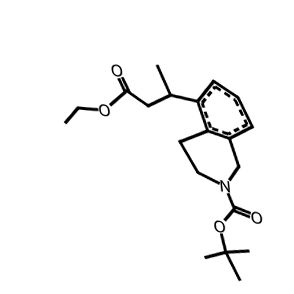 CCOC(=O)CC(C)c1cccc2c1CCN(C(=O)OC(C)(C)C)C2